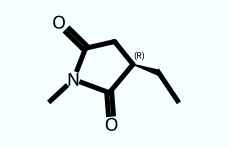 CC[C@@H]1CC(=O)N(C)C1=O